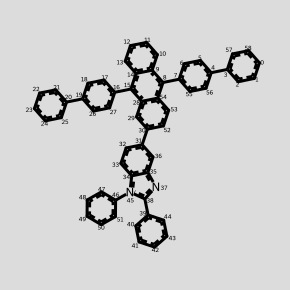 c1ccc(-c2ccc(-c3c4ccccc4c(-c4ccc(-c5ccccc5)cc4)c4cc(-c5ccc6c(c5)nc(-c5ccccc5)n6-c5ccccc5)ccc34)cc2)cc1